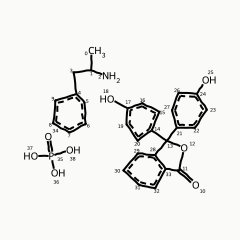 CC(N)Cc1ccccc1.O=C1OC(c2ccc(O)cc2)(c2ccc(O)cc2)c2ccccc21.O=P(O)(O)O